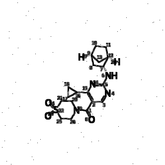 O=C(c1cnc(N[C@@H]2C[C@H]3CC[C@@H]2C3)nc1C1CC1)N1CCS(=O)(=O)CC1